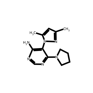 Cc1cc(C)n(-c2c(N)ncnc2N2CCCC2)n1